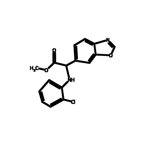 COC(=O)C(Nc1ccccc1Cl)c1ccc2ncoc2c1